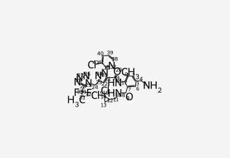 Cc1cc(CN)cc(C(=O)NCC2CC2(Cl)Cl)c1NC(=O)c1cc(Cn2nnnc2C(C)(F)F)nn1-c1ncccc1Cl